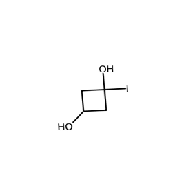 OC1CC(O)(I)C1